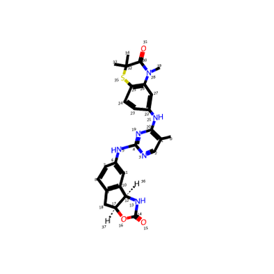 Cc1cnc(Nc2ccc3c(c2)[C@H]2NC(=O)O[C@H]2C3)nc1Nc1ccc2c(c1)N(C)C(=O)C(C)(C)S2